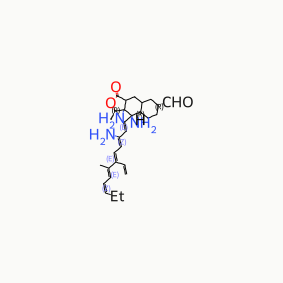 C=CC(=C\C=C(N)\C=C\C1(N)[C@@H]2CC[C@@H](C=O)CC2CC2C(=O)O[C@H](C)C21N)/C(C)=C/C=C\CC